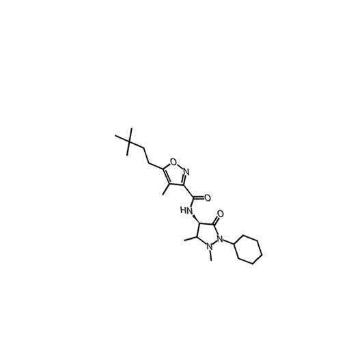 Cc1c(C(=O)N[C@H]2C(=O)N(C3CCCCC3)N(C)C2C)noc1CCC(C)(C)C